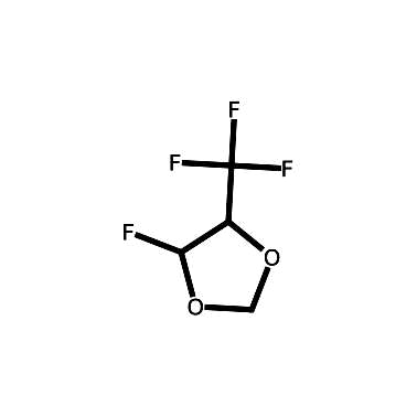 FC1OCOC1C(F)(F)F